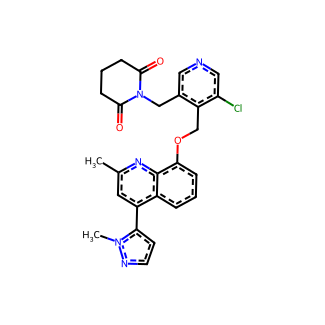 Cc1cc(-c2ccnn2C)c2cccc(OCc3c(Cl)cncc3CN3C(=O)CCCC3=O)c2n1